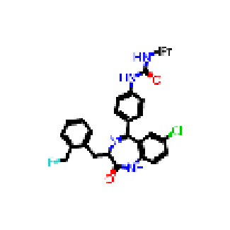 CC(C)NC(=O)Nc1ccc(C2=NC(Cc3ccccc3CF)C(=O)Nc3ccc(Cl)cc32)cc1